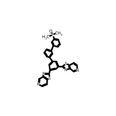 CP(C)(=O)c1cccc(-c2cccc(-c3cc(-c4nc5cnccc5s4)cc(-c4nc5cnccc5s4)c3)c2)c1